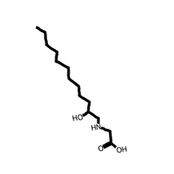 CCCCCCCCCCC(O)CNCC(=O)O